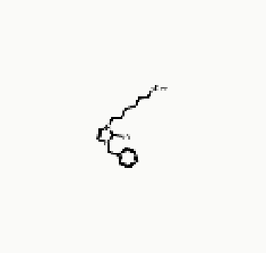 CCCCCCCCCCCCCCCCN1C=CN(Cc2ccccc2)C1C(C)C